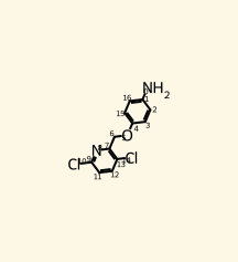 Nc1ccc(OCc2nc(Cl)ccc2Cl)cc1